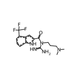 CN(C)CCCN(C(=N)N)C(=O)c1cc2c(C(F)(F)F)cccc2[nH]1